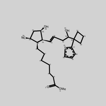 COC(=O)CCCCCC[C@@H]1[C@H](C=CCC(O)C2(c3cccs3)CCC2)[C@H](O)C[C@@H]1C#N